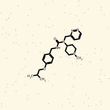 CC(C)COc1ccc(CNC(=O)N(Cc2cccnn2)C2CCN(C)CC2)cc1